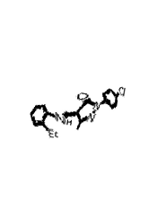 CCc1ccccc1NC=C1C(=O)N(c2ccc(Cl)cc2)N=C1C